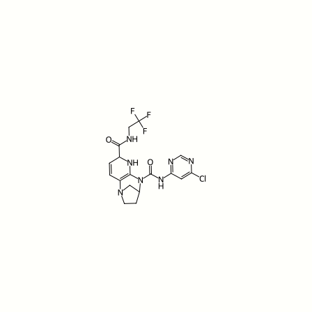 O=C(NCC(F)(F)F)C1C=CC2=C(N1)N(C(=O)Nc1cc(Cl)ncn1)C1CCN2C1